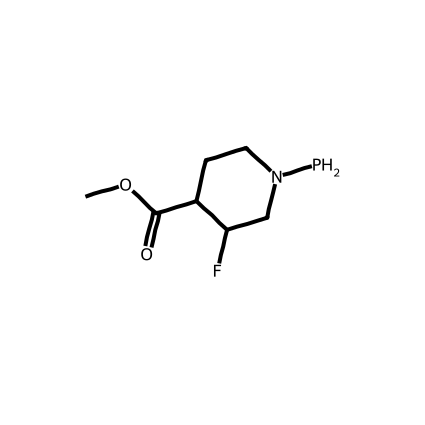 COC(=O)C1CCN(P)CC1F